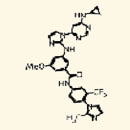 COc1cc(Nc2nccn2-c2cc(NC3CC3)ncn2)cc(C(=O)Nc2ccc(-n3ccnc3C)c(C(F)(F)F)c2)c1